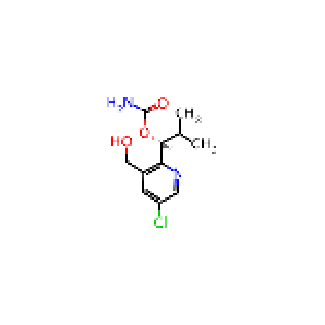 CC(C)[C@@H](OC(N)=O)c1ncc(Cl)cc1CO